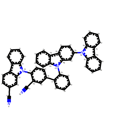 N#Cc1ccc2c3ccccc3n(-c3ccc(-c4ccccc4-n4c5ccccc5c5ccc(-n6c7ccccc7c7ccccc76)cc54)cc3C#N)c2c1